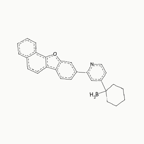 BC1(c2ccnc(-c3ccc4c(c3)oc3c5ccccc5ccc43)c2)CCCCC1